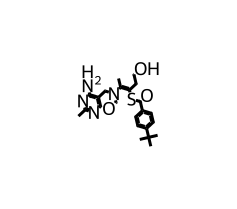 C/C(=C(\CCO)SC(=O)c1ccc(C(C)(C)C)cc1)N(C=O)Cc1cnc(C)nc1N